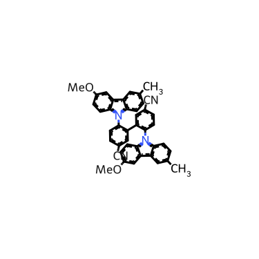 COc1ccc2c(c1)c1cc(C)ccc1n2-c1ccc(C#N)cc1-c1cc(C#N)ccc1-n1c2ccc(C)cc2c2cc(OC)ccc21